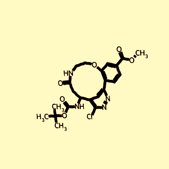 COC(=O)c1ccc2c(c1)OCCNC(=O)CC(NC(=O)OC(C)(C)C)c1cc-2nnc1Cl